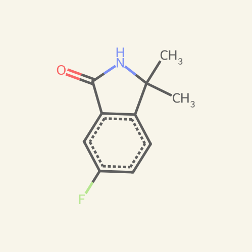 CC1(C)NC(=O)c2cc(F)ccc21